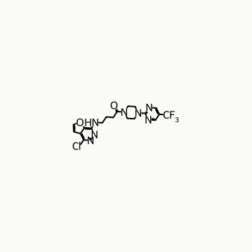 O=C(CCCNc1nnc(Cl)c2ccoc12)N1CCN(c2ncc(C(F)(F)F)cn2)CC1